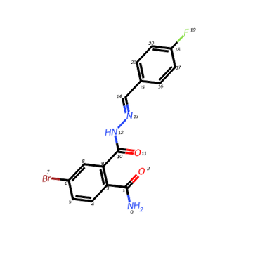 NC(=O)c1ccc(Br)cc1C(=O)NN=Cc1ccc(F)cc1